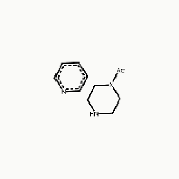 CC(=O)N1CCNCC1.c1ccncc1